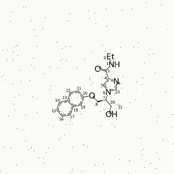 CCNC(=O)c1cn([C@H](COc2ccc3ccccc3c2)[C@H](C)O)cn1